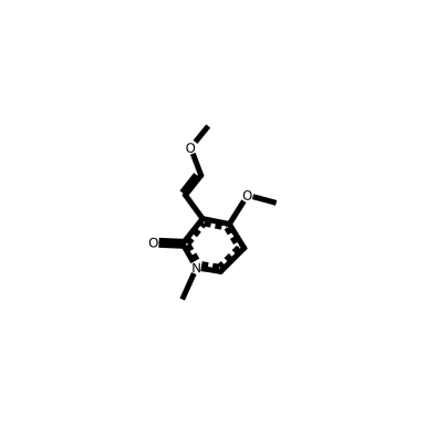 COC=Cc1c(OC)ccn(C)c1=O